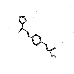 NC(=O)C=Cc1ccc(C=CC(=O)c2ccco2)cc1